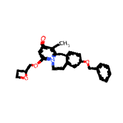 Cc1c2n(c(OCC3CCO3)cc1=O)CCc1cc(OCc3ccccc3)ccc1-2